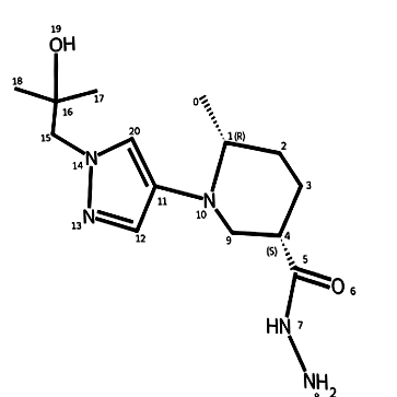 C[C@@H]1CC[C@H](C(=O)NN)CN1c1cnn(CC(C)(C)O)c1